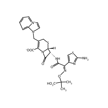 CC(C)(O/N=C(\C(=O)N[C@@H]1C(=O)N2C(C(=O)[O-])=C(Cn3cc[n+]4ccccc34)CS[C@H]12)c1csc(N)n1)C(=O)O